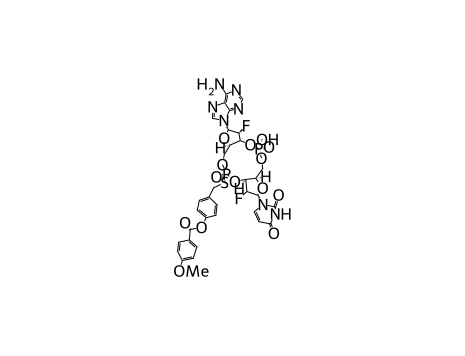 COc1ccc(C(=O)Oc2ccc(CS[P@@]3(=O)OC[C@H]4O[C@@H](n5cnc6c(N)ncnc65)[C@@H](F)C4O[P@](=O)(O)OC[C@H]4O[C@@H](n5ccc(=O)[nH]c5=O)C(F)[C@H]4O3)cc2)cc1